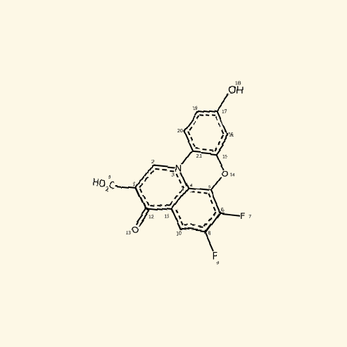 O=C(O)c1cn2c3c(c(F)c(F)cc3c1=O)Oc1cc(O)ccc1-2